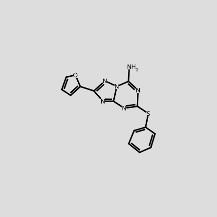 Nc1nc(Sc2ccccc2)nc2nc(-c3ccco3)nn12